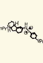 CCCN1CCC[C@@H]2c3cc(NS(=O)(=O)c4ccc(C(C)C)cc4)ccc3C[C@H]21